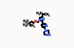 CC(C)c1cn(COCC[Si](C)(C)C)c(-c2ccc(N3CCNCC3)nc2)n1